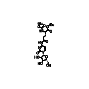 CC(C)(C)OC(=O)N[C@@H](CCC(=O)Nc1ccn([C@@H]2O[C@H](CO)C(O)C2O)c(=O)n1)C(=O)OC(C)(C)C